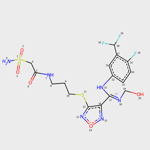 NS(=O)(=O)CC(=O)NCCCSc1nonc1/C(=N/CO)Nc1ccc(F)c(C(F)F)c1